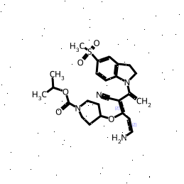 C=C(/C(C#N)=C(\C=C/N)OC1CCN(C(=O)OC(C)C)CC1)N1CCc2cc(S(C)(=O)=O)ccc21